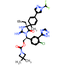 CC(C)(C)C[C@]1(C2(C)C=CC(c3cnn(C(F)F)c3)=CC2)NC(=N)N([C@H](COC(=O)N2CC(C)(C)C2)c2ccc(Cl)c(-c3ncn[nH]3)c2)C1=O